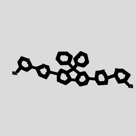 N#Cc1ccnc(-c2ccc(-c3ccc4c(c3)C(c3ccccc3)(c3ccccc3)c3cc(-c5ccc(-c6cc(C#N)ccn6)nc5)ccc3-4)cn2)c1